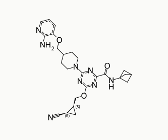 N#C[C@@H]1C[C@@H]1COc1nc(C(=O)NC23CC(C2)C3)nc(N2CCC(COc3cccnc3N)CC2)n1